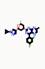 Cc1cnc2c(-c3ccc(F)cc3F)nc([C@H]3C[C@@H](C)O[C@@H](c4cnn(C5CC5)c4)C3)nc2n1